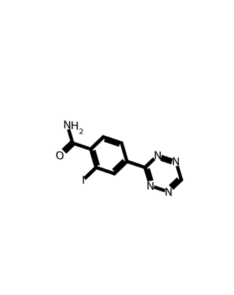 NC(=O)c1ccc(-c2nncnn2)cc1I